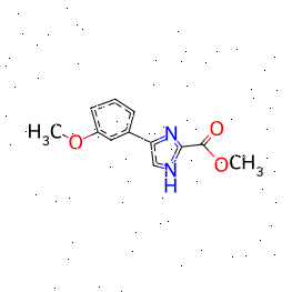 COC(=O)c1nc(-c2cccc(OC)c2)c[nH]1